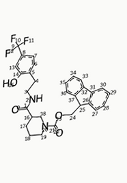 O=C(NCCc1ccc(C(F)(F)F)cc1O)C1CCCN(C(=O)OCC2c3ccccc3-c3ccccc32)C1